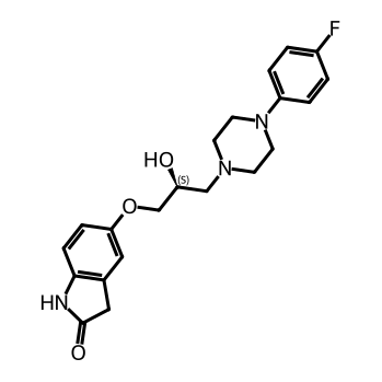 O=C1Cc2cc(OC[C@@H](O)CN3CCN(c4ccc(F)cc4)CC3)ccc2N1